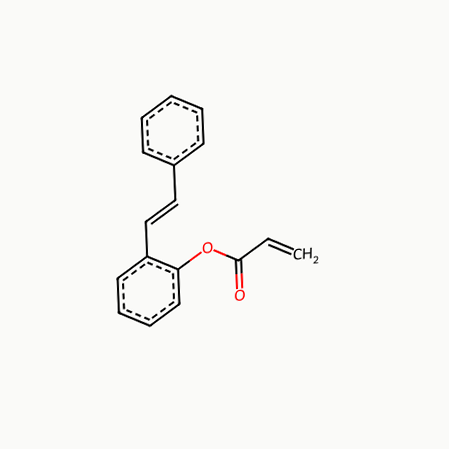 C=CC(=O)Oc1ccccc1C=Cc1ccccc1